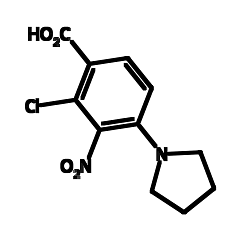 O=C(O)c1ccc(N2CCCC2)c([N+](=O)[O-])c1Cl